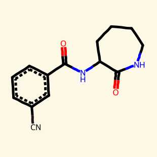 N#Cc1cccc(C(=O)NC2CCCCNC2=O)c1